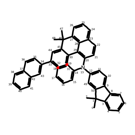 CC1(C)c2ccccc2-c2ccc(N(c3ccccc3)c3ccc4cccc5c4c3-c3ccc(-c4ccc6ccccc6c4)cc3C5(C)C)cc21